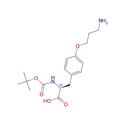 CC(C)(C)OC(=O)N[C@@H](Cc1ccc(OCCCN)cc1)C(=O)O